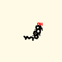 CC(C)=CCCC(C)[C@H]1CC[C@@]2(C)[C@@H]3CC[C@H]4C(C)(C)[C@@H](O)CC[C@]4(C)C3=CC[C@]12C